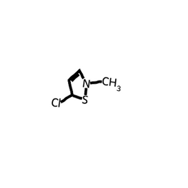 CN1C=CC(Cl)S1